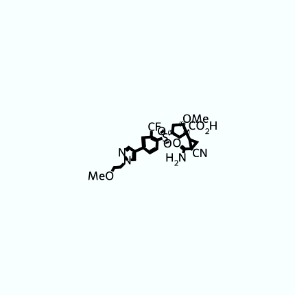 COCCn1cc(-c2ccc(S(=O)(=O)[C@@H]3C[C@H](OC)[C@@](C(=O)O)(C4CC4(C#N)C(N)=O)C3)c(C(F)(F)F)c2)cn1